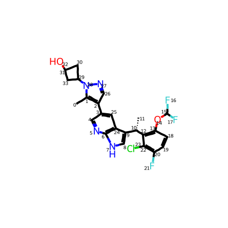 Cc1c(-c2cnc3[nH]cc([C@H](C)c4c(OC(F)F)ccc(F)c4Cl)c3c2)cnn1C1CC(O)C1